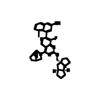 Cc1cccc2cc(O)cc(-c3ncc4c(N5CC6CCC(C5)N6)nc(OC[C@]56CCCN5[C@H]5CCC[C@H]5C6)nc4c3F)c12